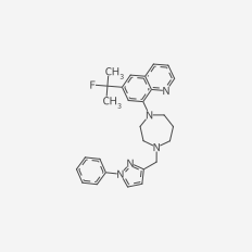 CC(C)(F)c1cc(N2CCCN(Cc3ccn(-c4ccccc4)n3)CC2)c2ncccc2c1